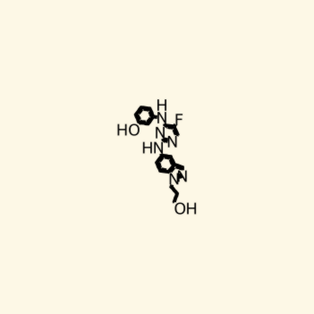 OCCCn1ncc2cc(Nc3ncc(F)c(Nc4cccc(O)c4)n3)ccc21